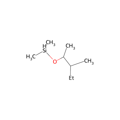 CCC(C)C(C)O[SiH](C)C